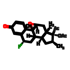 CC(=O)O[C@]1(C(C)=O)[C@@H](C)C[C@H]2[C@@H]3C[C@H](F)C4=CC(=O)C=C[C@]4(C)[C@@]34O[C@H]4C[C@@]21C